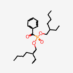 CCCCC(CC)COP(=O)(OCC(CC)CCCC)C(=O)c1ccccc1